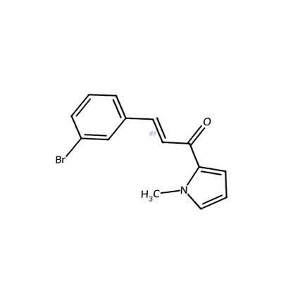 Cn1cccc1C(=O)/C=C/c1cccc(Br)c1